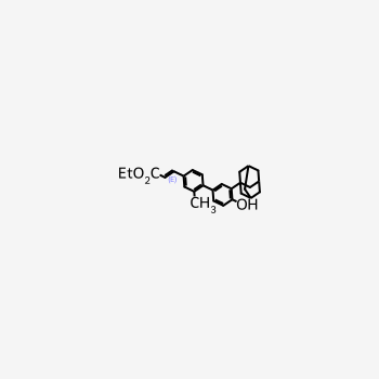 CCOC(=O)/C=C/c1ccc(-c2ccc(O)c(C34CC5CC(CC(C5)C3)C4)c2)c(C)c1